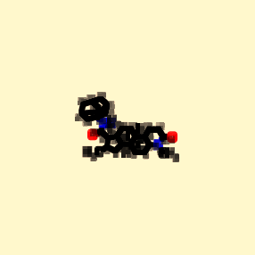 CC1C[C@H]2[C@@H]3CCC4N(C)C(=O)C=C[C@]4(C)[C@@H]3CC[C@]2(C)C1C(=O)NC12CC3CC(CC(C3)C1)C2